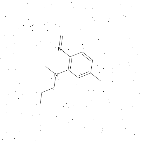 C=Nc1ccc(C)cc1N(C)CCC